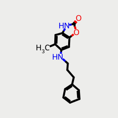 Cc1cc2[nH]c(=O)oc2cc1NCCCc1ccccc1